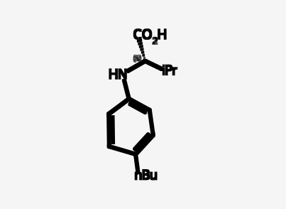 CCCCc1ccc(N[C@H](C(=O)O)C(C)C)cc1